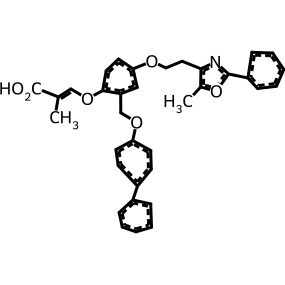 CC(=COc1ccc(OCCc2nc(-c3ccccc3)oc2C)cc1COc1ccc(-c2ccccc2)cc1)C(=O)O